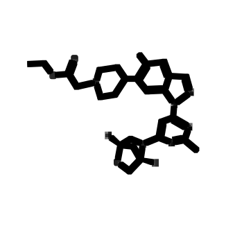 CCOC(=O)CN1CCC(c2cc3c(cnn3-c3cc(N4C[C@@H]5C[C@H]4CO5)nc(C)n3)cc2C)CC1